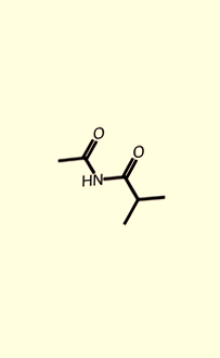 CC(=O)NC(=O)C(C)C